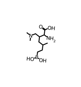 CC(CCB(O)O)CC(CN(C)C)C(N)C(=O)O